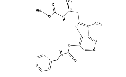 Cc1c(C[C@H](C)NC(=O)OC(C)(C)C)sc2c(OC(=O)NCc3ccncc3)cnnc12